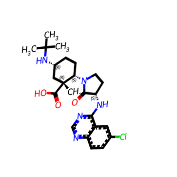 CC(C)(C)N[C@@H]1CC[C@H](N2CC[C@H](Nc3ncnc4ccc(Cl)cc34)C2=O)[C@](C)(C(=O)O)C1